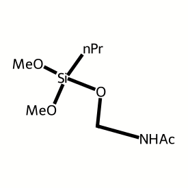 CCC[Si](OC)(OC)OCNC(C)=O